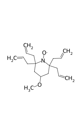 C=CCC1(CC=C)CC(OC)CC(CC=C)(CC=C)N1[O]